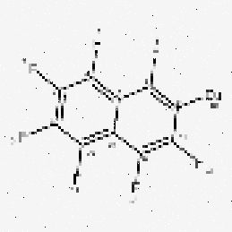 Fc1c(F)c(F)c2c(F)[c]([Cu])c(F)c(F)c2c1F